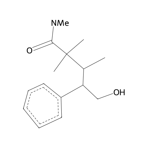 CNC(=O)C(C)(C)C(C)C(CO)c1ccccc1